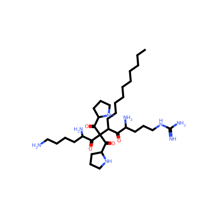 CCCCCCCCCCC(C(=O)C(N)CCCNC(=N)N)C(C(=O)C(N)CCCCN)(C(=O)C1CCCN1)C(=O)C1CCCN1